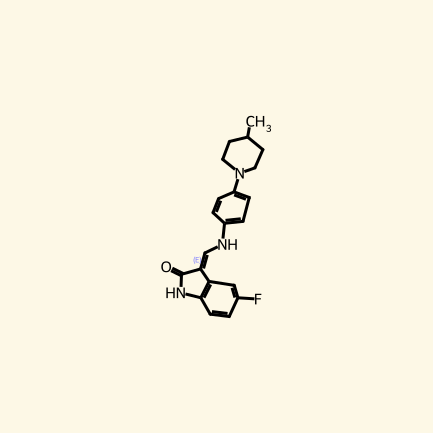 CC1CCN(c2ccc(N/C=C3/C(=O)Nc4ccc(F)cc43)cc2)CC1